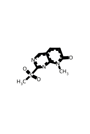 Cn1c(=O)ccc2cnc(S(C)(=O)=O)nc21